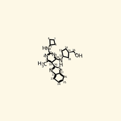 Cc1nc(NC2CCC2)nc(N[C@H]2CC[C@@H](CO)C2)c1-c1nc2ccccc2s1